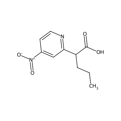 CCCC(C(=O)O)c1cc([N+](=O)[O-])ccn1